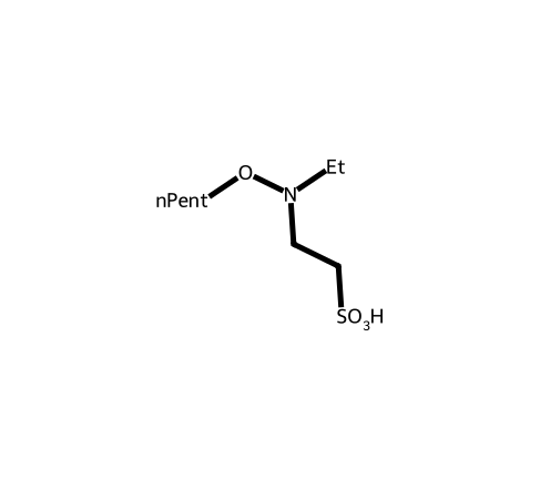 CCCCCON(CC)CCS(=O)(=O)O